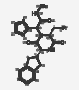 CC(C)C[C@@H]1C(=O)N[C@H](C2Cc3ccccc3C2)C(=O)N1C(C(=O)NC(C)(C)C)c1nccs1